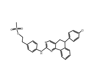 CS(=O)(=O)OCCc1ccc(Nc2ncc3c(n2)-c2ccccc2C(c2ccc(Cl)cc2)C3)cc1